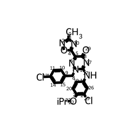 Cc1noc(-c2nn(Cc3ccc(Cl)cc3)c(Nc3ccc(OC(C)C)c(Cl)c3)nc2=O)n1